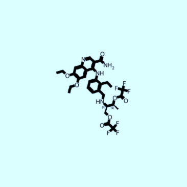 CCOc1cc2ncc(C(N)=O)c(Nc3cccc(CN[C@H](COC(=O)C(F)(F)F)[C@H](C)OC(=O)C(F)(F)F)c3CC)c2cc1OCC